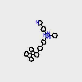 C1=CC2=C(CC1)C1(c3ccccc3-c3ccccc31)c1cccc(-c3ccc(-c4ccc(-c5nc(-c6ccccc6)nc(-c6ccc(-c7cccnc7)cc6)n5)cc4)cc3)c12